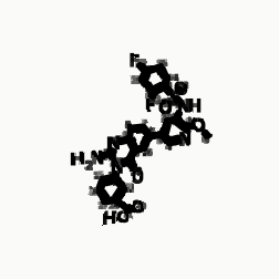 COc1ncc(-c2ccc3nc(N)n(-c4cccc(C(=O)O)c4)c(=O)c3c2)cc1NS(=O)(=O)c1ccc(F)cc1F